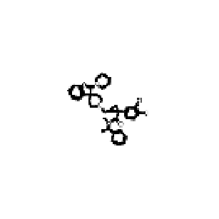 CC(c1ccccc1)N(C)C(=O)C1(c2ccc(Cl)c(Cl)c2)CC1CN1CCC(C(=O)N2CCCCC2)(c2ccccc2)CC1